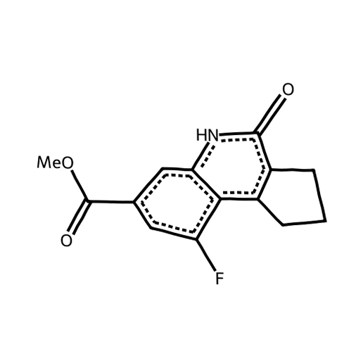 COC(=O)c1cc(F)c2c3c(c(=O)[nH]c2c1)CCC3